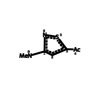 CNc1cc(C(C)=O)sn1